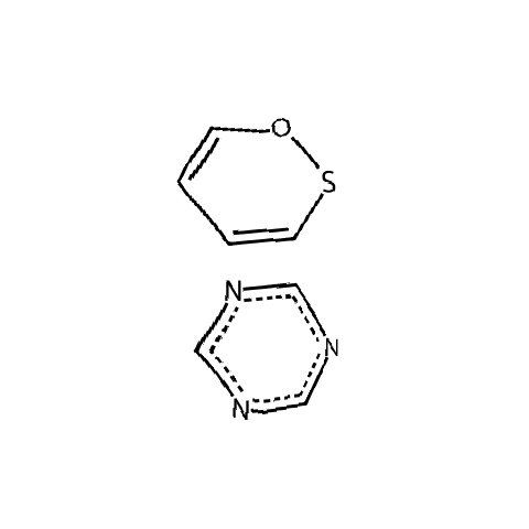 C1=COSC=C1.c1ncncn1